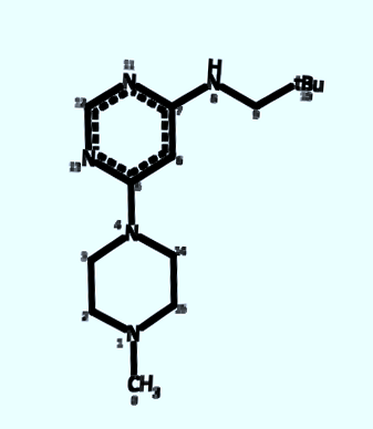 CN1CCN(c2cc(NCC(C)(C)C)ncn2)CC1